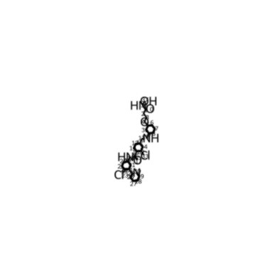 O=C(CCOc1cccc(NCc2ccc(C(=O)Nc3ccc(Cl)c(-c4ccccn4)c3)c(Cl)c2)c1)NO